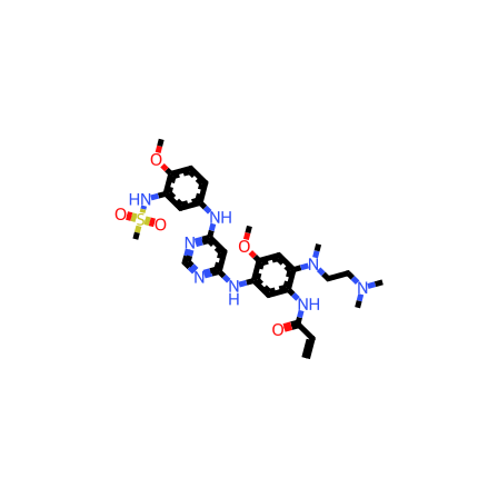 C=CC(=O)Nc1cc(Nc2cc(Nc3ccc(OC)c(NS(C)(=O)=O)c3)ncn2)c(OC)cc1N(C)CCN(C)C